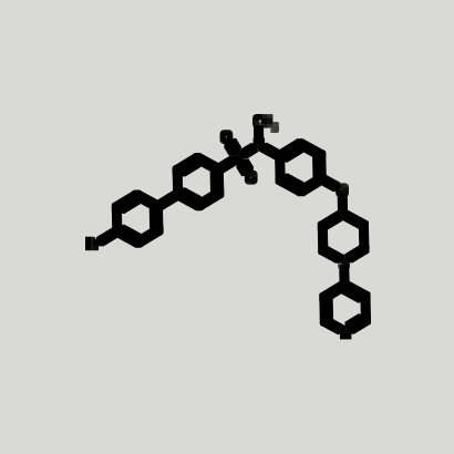 CN(c1ccc(OC2CCN(c3ccncc3)CC2)cc1)S(=O)(=O)c1ccc(-c2ccc(Br)cc2)cc1